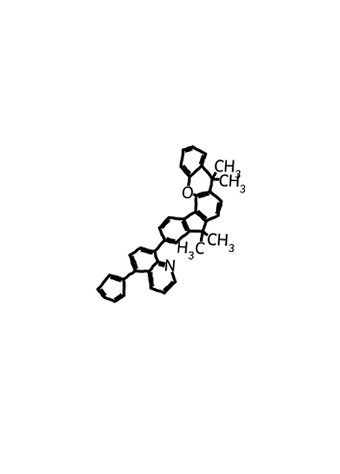 CC1(C)c2ccccc2Oc2c1ccc1c2-c2ccc(-c3ccc(-c4ccccc4)c4cccnc34)cc2C1(C)C